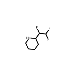 FC(F)C(F)C1CCCCN1